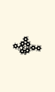 CC1CC=C(c2ccccc2)Oc2ccc3oc4ccc(N(c5ccc(-c6ccccc6)cc5)c5ccc(-c6ccccc6)c(-c6ccccc6)c5)cc4c3c21